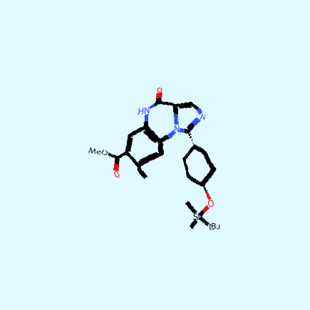 COC(=O)c1cc2[nH]c(=O)c3cnc([C@H]4CC[C@H](O[Si](C)(C)C(C)(C)C)CC4)n3c2cc1C